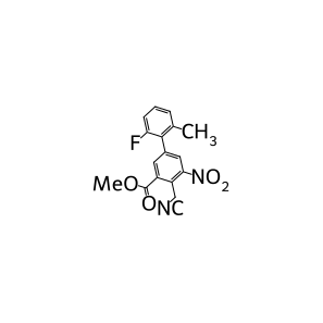 COC(=O)c1cc(-c2c(C)cccc2F)cc([N+](=O)[O-])c1CC#N